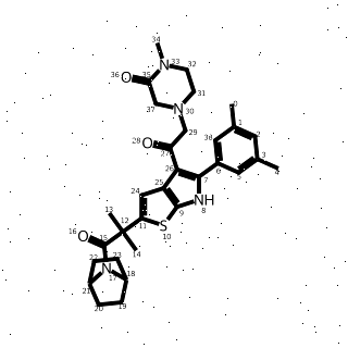 Cc1cc(C)cc(-c2[nH]c3sc(C(C)(C)C(=O)N4C5CCC4CC5)cc3c2C(=O)CN2CCN(C)C(=O)C2)c1